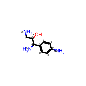 NCC(O)C(N)c1ccc(N)cc1